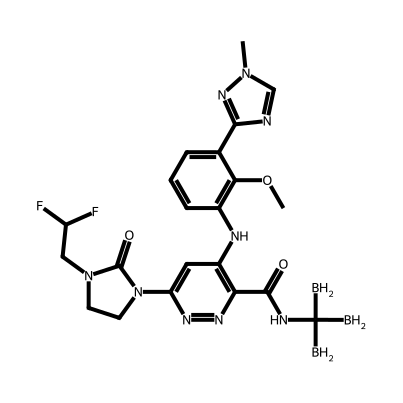 BC(B)(B)NC(=O)c1nnc(N2CCN(CC(F)F)C2=O)cc1Nc1cccc(-c2ncn(C)n2)c1OC